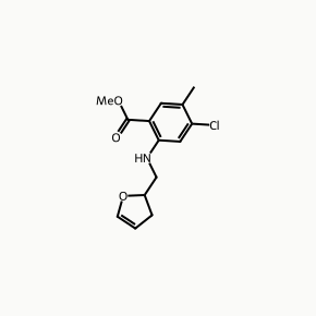 COC(=O)c1cc(C)c(Cl)cc1NCC1CC=CO1